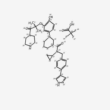 CC(C)(Oc1cc(N2CCC[C@@H](C(=O)N(Cc3ccc(-c4cn[nH]c4)cc3)C3CC3)C2)ccc1C#N)C(=O)N1CCNCC1.O=C(O)C(F)(F)F